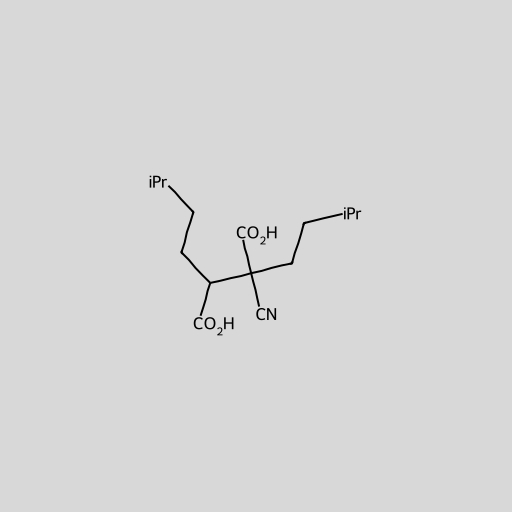 CC(C)CCC(C(=O)O)C(C#N)(CCC(C)C)C(=O)O